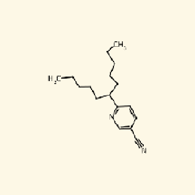 CCCCCC(CCCCC)c1ccc(C#N)cn1